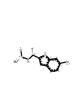 C[C@@H](N[S@@+]([O-])C(C)(C)C)c1cc2ccc(C(F)(F)F)cc2o1